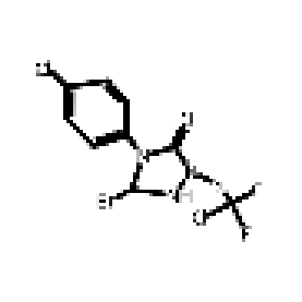 CCC1NN(SC(F)(Cl)Cl)C(=O)N1c1ccc(Cl)cc1